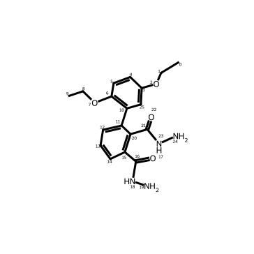 CCOc1ccc(OCC)c(-c2cccc(C(=O)NN)c2C(=O)NN)c1